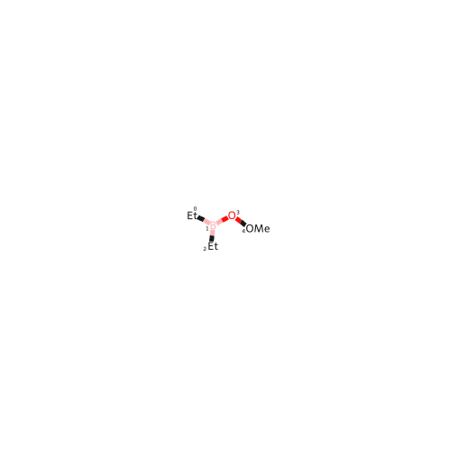 CCB(CC)OOC